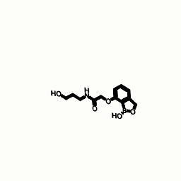 O=C(COc1cccc2c1B(O)OC2)NCCCO